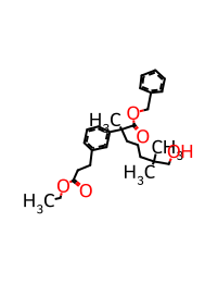 CCOC(=O)CCc1cccc(C(C)(CCCC(C)(C)CO)C(=O)OCc2ccccc2)c1